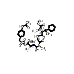 C/C(=C\[C@H](C(C)C)N(C)C(=O)[C@@H](NC(=O)[C@@H](N(C)C(=O)OC(C)(C)C)C(C)(C)c1ccccc1)C(C)(C)C)C(=O)NS(=O)(=O)Cc1ccc(NC(=O)C(F)(F)F)cc1